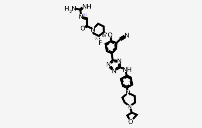 N#Cc1cc(-c2ncnc(Nc3ccc(N4CCN(C5COC5)CC4)cc3)n2)ccc1O[C@H]1CCN(C(=O)/C=N/C(=N)N)C[C@H]1F